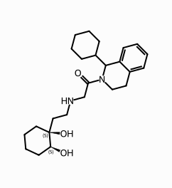 O=C(CNCC[C@@]1(O)CCCC[C@@H]1O)N1CCc2ccccc2C1C1CCCCC1